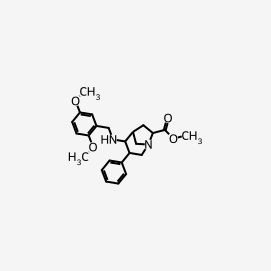 COC(=O)C1CC2CN1CC(c1ccccc1)C2NCc1cc(OC)ccc1OC